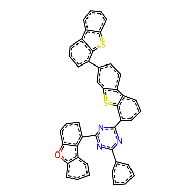 c1ccc(-c2nc(-c3cccc4c3sc3cc(-c5cccc6c5sc5ccccc56)ccc34)nc(-c3cccc4oc5ccccc5c34)n2)cc1